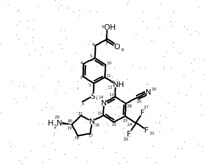 CSc1ccc(CC(=O)O)cc1Nc1nc(N2CC[C@@H](N)C2)cc(C(F)(F)F)c1C#N